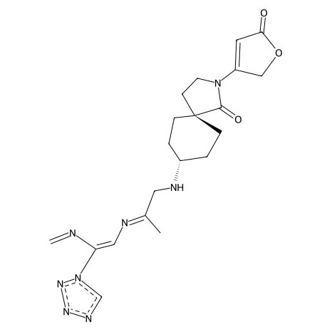 C=N/C(=C\N=C(/C)CN[C@H]1CC[C@]2(CCN(C3=CC(=O)OC3)C2=O)CC1)n1cnnn1